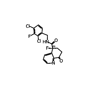 O=C1CC[C@@](F)(C(=O)NCc2ccc(Cl)c(F)c2Cl)c2cccnc21